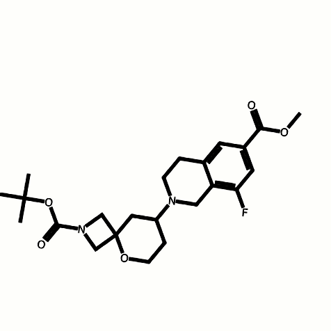 COC(=O)c1cc(F)c2c(c1)CCN(C1CCOC3(C1)CN(C(=O)OC(C)(C)C)C3)C2